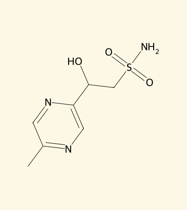 Cc1cnc(C(O)CS(N)(=O)=O)cn1